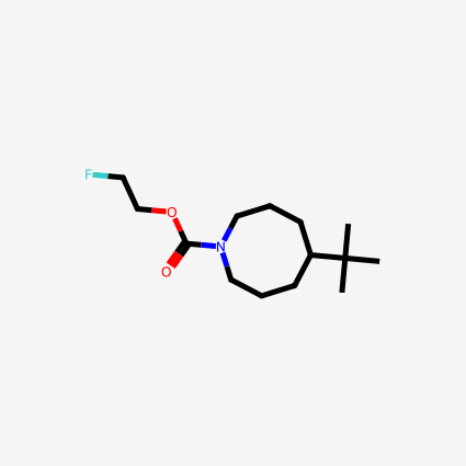 CC(C)(C)C1CCCN(C(=O)OCCF)CCC1